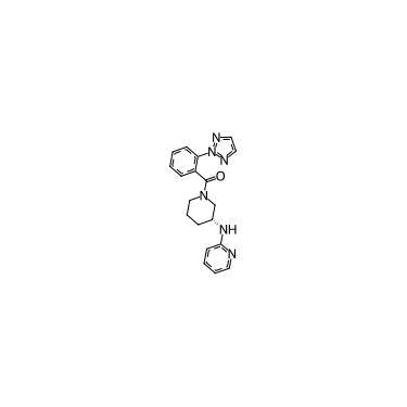 O=C(c1ccccc1-n1nccn1)N1CCC[C@@H](Nc2ccccn2)C1